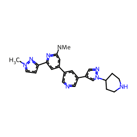 CNc1cc(-c2cncc(-c3cnn(C4CCNCC4)c3)c2)cc(-c2ccn(C)n2)n1